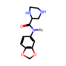 CC(=O)N(C(=O)C1CNCCN1)c1ccc2c(c1)OCO2